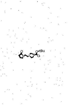 CC(C)(C)OC(=O)N1CCN(CCN2CCCC2=O)CC1